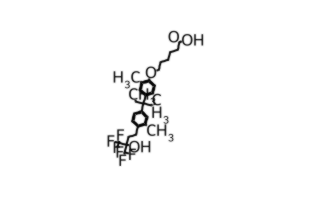 CCC(CC)(c1ccc(CCC(O)(C(F)(F)F)C(F)(F)F)c(C)c1)c1ccc(OCCCCCC(=O)O)c(C)c1